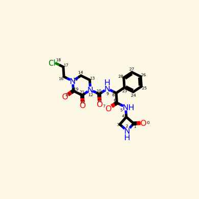 O=C1NCC1NC(=O)C(NC(=O)N1CCN(CCCl)C(=O)C1=O)c1ccccc1